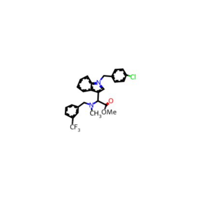 COC(=O)C(c1cn(Cc2ccc(Cl)cc2)c2ccccc12)N(C)Cc1cccc(C(F)(F)F)c1